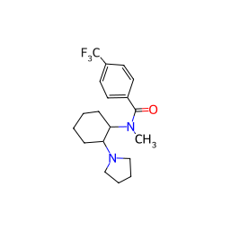 CN(C(=O)c1ccc(C(F)(F)F)cc1)C1CCCCC1N1CCCC1